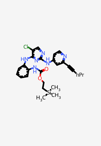 CCCC#Cc1cc(Nc2ncc(Cl)c(Nc3ccccc3NC(=O)OCC[Si](C)(C)C)n2)ccn1